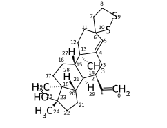 C=C[C@@H]1CC2=CC3(CCSS3)CC[C@]2(C)[C@H]2CC[C@@]3(C)[C@@H](CC[C@]3(C)O)[C@H]12